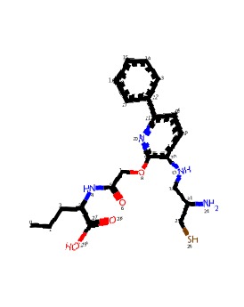 CCCC(NC(=O)COc1nc(-c2ccccc2)ccc1NCC(N)CS)C(=O)O